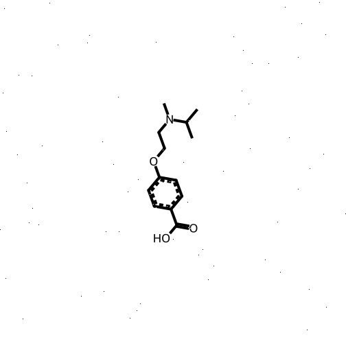 CC(C)N(C)CCOc1ccc(C(=O)O)cc1